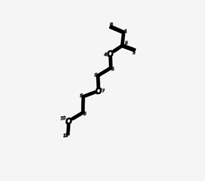 CCC(C)OCCOCCOC